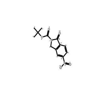 CC(C)(C)OC(=O)N1Cc2cc([N+](=O)[O-])ccc2C1=O